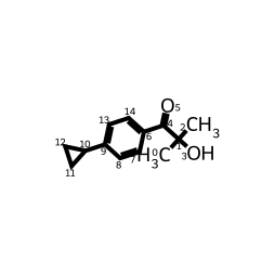 CC(C)(O)C(=O)c1ccc(C2CC2)cc1